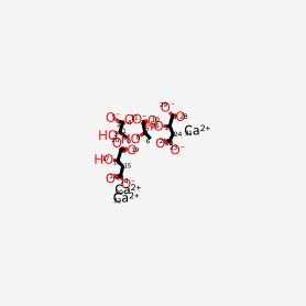 CC(O)C(=O)[O-].CC(O)C(=O)[O-].O=C([O-])CC(O)C(=O)[O-].O=C([O-])CC(O)C(=O)[O-].[Ca+2].[Ca+2].[Ca+2]